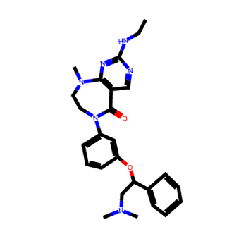 CCNc1ncc2c(n1)N(C)CCN(c1cccc(OC(CN(C)C)c3ccccc3)c1)C2=O